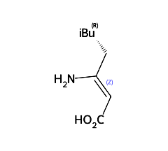 CC[C@@H](C)C/C(N)=C/C(=O)O